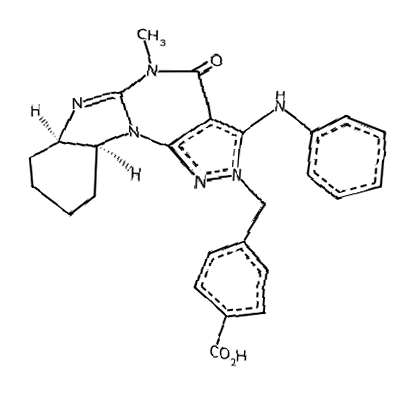 CN1C(=O)c2c(nn(Cc3ccc(C(=O)O)cc3)c2Nc2ccccc2)N2C1=N[C@@H]1CCCC[C@@H]12